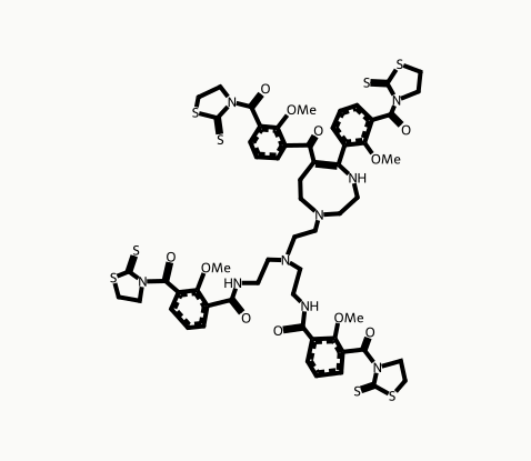 COc1c(C(=O)NCCN(CCNC(=O)c2cccc(C(=O)N3CCSC3=S)c2OC)CCN2CCN/C(c3cccc(C(=O)N4CCSC4=S)c3OC)=C(/C(=O)c3cccc(C(=O)N4CCSC4=S)c3OC)CC2)cccc1C(=O)N1CCSC1=S